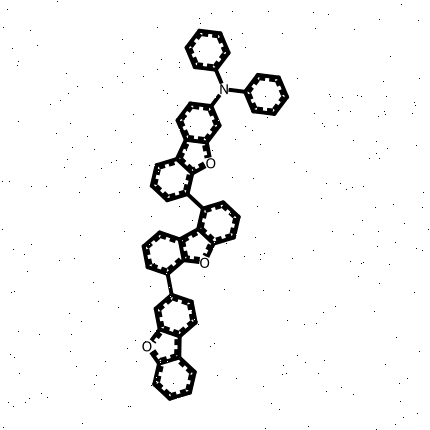 c1ccc(N(c2ccccc2)c2ccc3c(c2)oc2c(-c4cccc5oc6c(-c7ccc8c(c7)oc7ccccc78)cccc6c45)cccc23)cc1